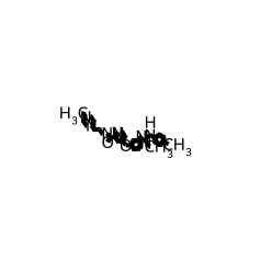 Cc1ccc(Nc2nc3cc(Oc4ccnc(C(=O)NCCCN5CCN(C)CC5)c4)ccc3n2C)cc1